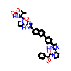 COC(=O)N[C@H](C(=O)N1CCC[C@H]1c1ncc(-c2ccc3cc(-c4ccc(-c5cnc([C@@H]6CCCN6C(=O)[C@H](OC)c6ccccc6)[nH]5)cc4)ccc3c2)[nH]1)C(C)C